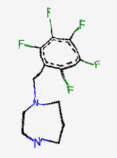 Fc1c(F)c(F)c(CN2CCC[N]CC2)c(F)c1F